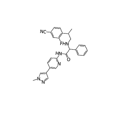 CC(CNC(C(=O)Nc1ccc(-c2cnn(C)c2)cn1)c1ccccc1)c1ccc(C#N)cc1F